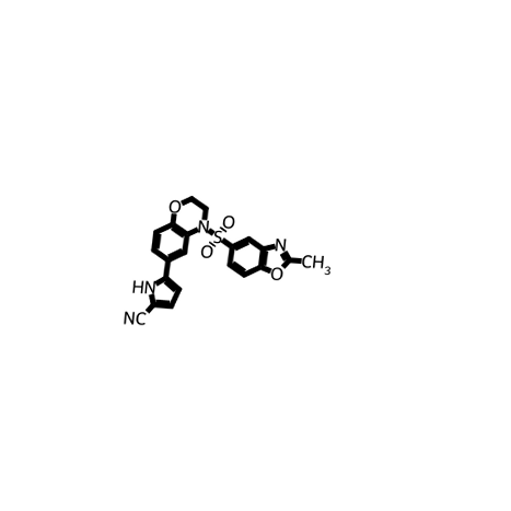 Cc1nc2cc(S(=O)(=O)N3CCOc4ccc(-c5ccc(C#N)[nH]5)cc43)ccc2o1